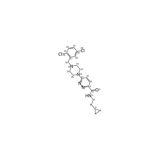 O=C(NCCC1CC1)c1ccc(N2CCN(Cc3cc(Cl)ccc3Cl)CC2)nn1